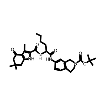 CCCCC(NC(=O)c1[nH]c2c(c1C)C(=O)CC(C)(C)C2)C(=O)Nc1ccc2c(c1)CN(C(=O)OC(C)(C)C)CC2